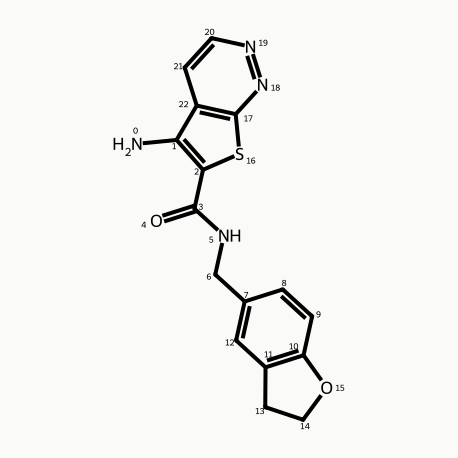 Nc1c(C(=O)NCc2ccc3c(c2)CCO3)sc2nnccc12